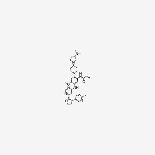 C=CC(=O)Nc1cc(Nc2cc(N3OCCC3c3ccc(C)nc3)ncn2)c(OC)cc1N1CCC(N2CCC(N(C)C)C2)CC1